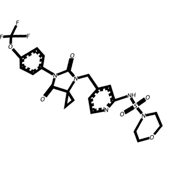 O=C1N(c2ccc(OC(F)(F)F)cc2)C(=O)C2(CC2)N1Cc1ccnc(NS(=O)(=O)N2CCOCC2)c1